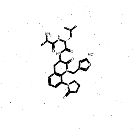 CC(C)C[C@@H](NC(=O)C(C)N)C(=O)NC1Cc2cccc(N3CCCC3=O)c2N(Cc2ccsc2)C1=O.Cl